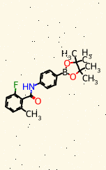 Cc1cccc(F)c1C(=O)Nc1ccc(B2OC(C)(C)C(C)(C)O2)cc1